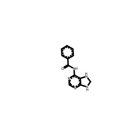 O=C(Nc1ncnc2c1NCN2)c1ccccc1